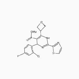 COC(=O)C1=C(C2COC2)NC(c2nccs2)=NC1c1ccc(F)cc1Cl